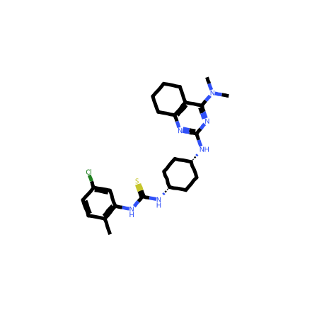 Cc1ccc(Cl)cc1NC(=S)N[C@H]1CC[C@@H](Nc2nc3c(c(N(C)C)n2)CCCC3)CC1